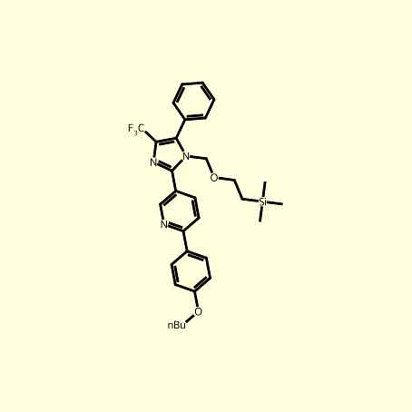 CCCCOc1ccc(-c2ccc(-c3nc(C(F)(F)F)c(-c4ccccc4)n3COCC[Si](C)(C)C)cn2)cc1